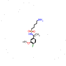 CCCOc1cc([C@H](C)NS(=O)(=O)CCCCCN)ccc1F